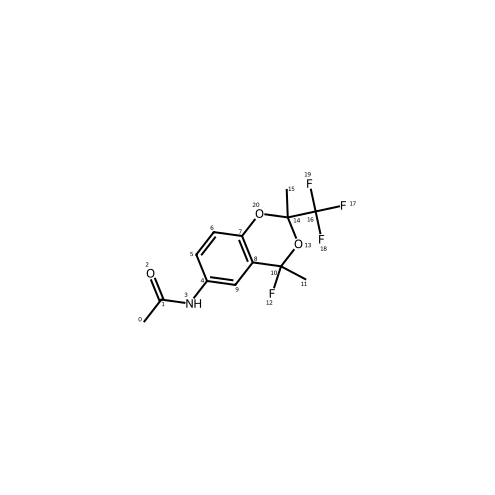 CC(=O)Nc1ccc2c(c1)C(C)(F)OC(C)(C(F)(F)F)O2